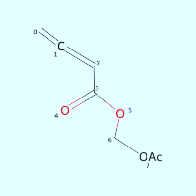 C=C=CC(=O)OCOC(C)=O